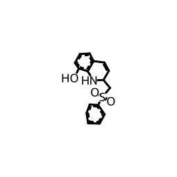 O=S(=O)(CC1C=Cc2cccc(O)c2N1)c1ccccc1